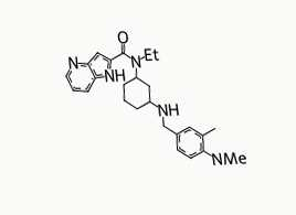 CCN(C(=O)c1cc2ncccc2[nH]1)C1CCCC(NCc2ccc(NC)c(C)c2)C1